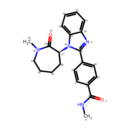 CNC(=O)c1ccc(-c2nc3ccccc3n2[C@H]2CCCCN(C)C2=O)cc1